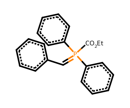 CCOC(=O)P(=Cc1ccccc1)(c1ccccc1)c1ccccc1